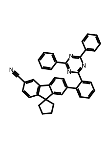 N#Cc1ccc2c(c1)-c1ccc(-c3ccccc3-c3nc(-c4ccccc4)nc(-c4ccccc4)n3)cc1C21CCCC1